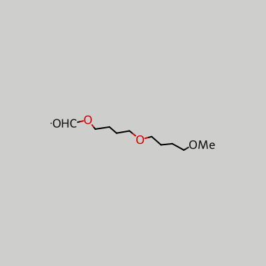 COCCCCOCCCCO[C]=O